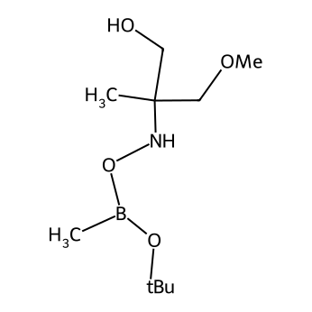 COCC(C)(CO)NOB(C)OC(C)(C)C